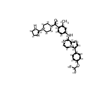 Cc1cc(Nc2nccn3c(-c4ccc(OC(F)F)cc4)cnc23)ccc1C(=O)N1CCN(C2=NCCN2)CC1